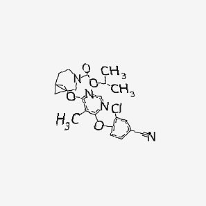 Cc1c(OCC23CCN(C(=O)OC(C)C)CC2C3)ncnc1Oc1ccc(C#N)cc1Cl